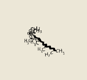 COP(=O)(OC)OCC(/C=C(\C)CC/C=C(\C)CCC=C(C)C)NC(C)=O